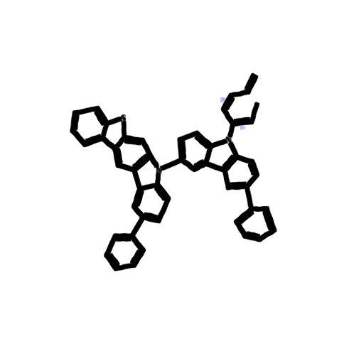 C=C/C=C\C(=C/C)n1c2ccc(-c3ccccc3)cc2c2cc(-n3c4ccc(-c5ccccc5)cc4c4cc5c(cc43)sc3ccccc35)ccc21